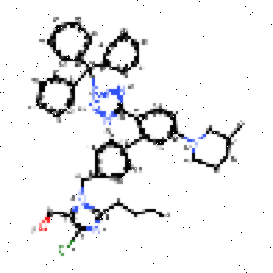 CCCCc1nc(Cl)c(C=O)n1Cc1ccc(-c2cc(N3CCCC(C)C3)ccc2-c2nnn(C(c3ccccc3)(c3ccccc3)c3ccccc3)n2)cc1